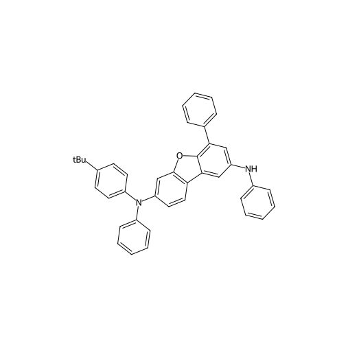 CC(C)(C)c1ccc(N(c2ccccc2)c2ccc3c(c2)oc2c(-c4ccccc4)cc(Nc4ccccc4)cc23)cc1